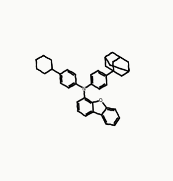 c1ccc2c(c1)oc1c(N(c3ccc(C4CCCCC4)cc3)c3ccc(C45CC6CC(CC(C6)C4)C5)cc3)cccc12